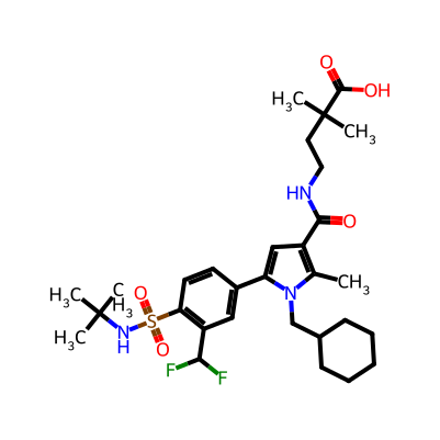 Cc1c(C(=O)NCCC(C)(C)C(=O)O)cc(-c2ccc(S(=O)(=O)NC(C)(C)C)c(C(F)F)c2)n1CC1CCCCC1